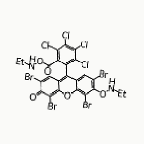 CCNOC(=O)c1c(Cl)c(Cl)c(Cl)c(Cl)c1-c1c2cc(Br)c(=O)c(Br)c-2oc2c(Br)c(ONCC)c(Br)cc12